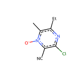 CCc1nc(Cl)c(C#N)[n+]([O-])c1C